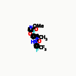 COC(=O)c1cc(Oc2ccc3c(cc(C)n3C(=O)Nc3ccc(F)c(C(F)(F)F)c3)c2F)ccn1